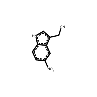 N#CCc1c[nH]c2ccc([N+](=O)[O-])cc12